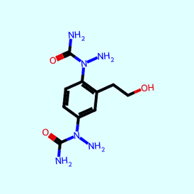 NC(=O)N(N)c1ccc(N(N)C(N)=O)c(CCO)c1